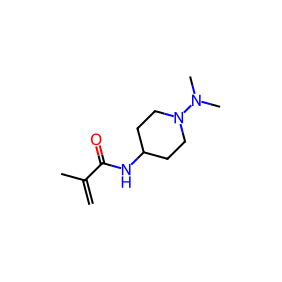 C=C(C)C(=O)NC1CCN(N(C)C)CC1